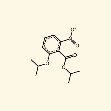 CC(C)OC(=O)c1c(OC(C)C)cccc1[N+](=O)[O-]